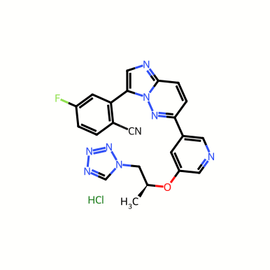 C[C@@H](Cn1cnnn1)Oc1cncc(-c2ccc3ncc(-c4cc(F)ccc4C#N)n3n2)c1.Cl